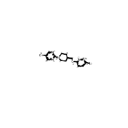 CCc1cnc(N2CCC(COc3ccc(I)nn3)CC2)nc1